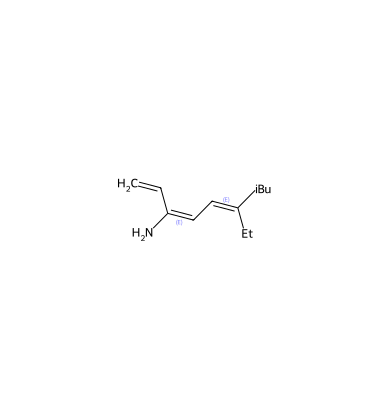 C=C/C(N)=C\C=C(/CC)C(C)CC